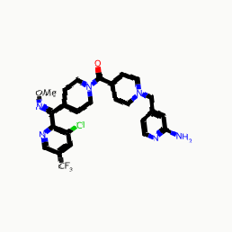 CON=C(c1ncc(C(F)(F)F)cc1Cl)C1CCN(C(=O)C2CCN(Cc3ccnc(N)c3)CC2)CC1